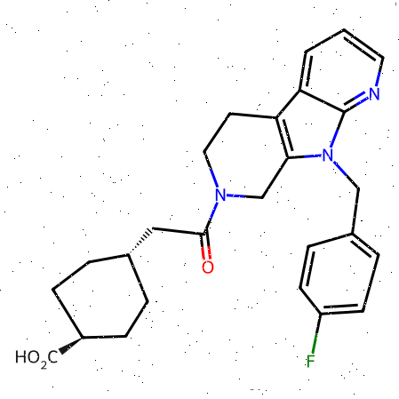 O=C(C[C@H]1CC[C@H](C(=O)O)CC1)N1CCc2c(n(Cc3ccc(F)cc3)c3ncccc23)C1